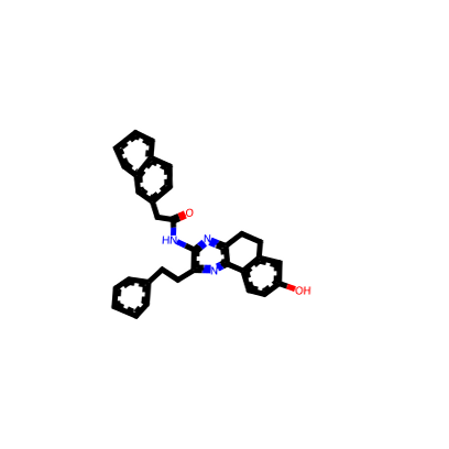 O=C(Cc1ccc2ccccc2c1)Nc1nc2c(nc1CCc1ccccc1)-c1ccc(O)cc1CC2